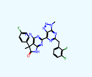 Cn1nnc2c(-c3nc(N)c4c(n3)NC(=O)C4(C)c3ccc(F)cc3)nc(Cc3cccc(F)c3F)nc21